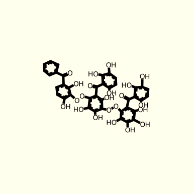 O=C(c1ccccc1)c1ccc(O)c(OOc2c(O)c(O)c(OOc3c(O)c(O)c(O)c(O)c3C(=O)c3c(O)ccc(O)c3O)c(O)c2C(=O)c2c(O)ccc(O)c2O)c1O